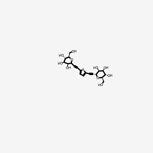 OC[C@H]1O[C@H](C#Cc2ccc(C#CC3O[C@H](CO)[C@@H](O)[C@H](O)[C@@H]3O)s2)[C@@H](O)[C@@H](O)[C@@H]1O